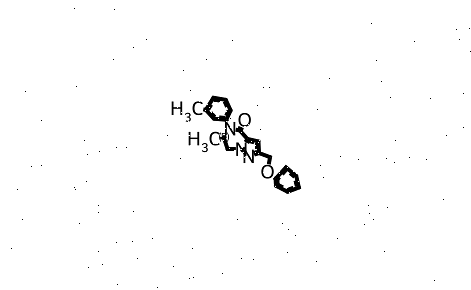 Cc1cccc(N2C(=O)c3cc(COc4ccccc4)nn3C[C@H]2C)c1